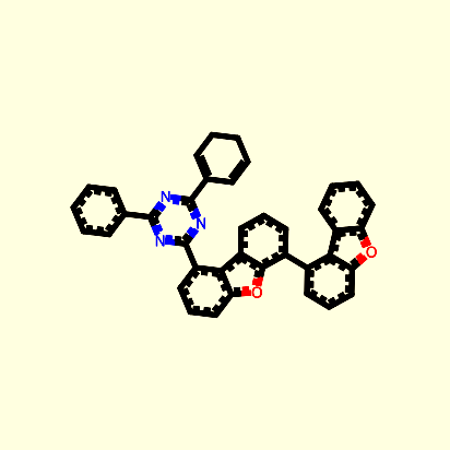 C1=CC(c2nc(-c3ccccc3)nc(-c3cccc4oc5c(-c6cccc7oc8ccccc8c67)cccc5c34)n2)=CCC1